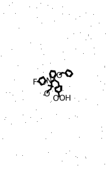 COCCC(C)(C)c1c(Cc2ccc(C(=O)O)cc2)c2c(OCc3ccccc3)cccc2n1-c1ccc(F)cc1